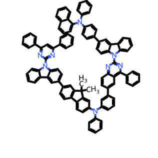 CC1(C)c2cc(-c3ccc4c(c3)c3ccccc3n4-c3nc(-c4ccccc4)cc(-c4ccccc4)n3)ccc2-c2ccc(N(c3ccccc3)c3cccc(-c4ccc5nc(-n6c7ccccc7c7cc(-c8ccc(N(c9ccccc9)c9cccc%10ccccc9%10)cc8)ccc76)nc(-c6ccccc6)c5c4)c3)cc21